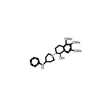 COc1cc2c(c(OC)c1OC)CC[C@@H](N1CCC(Nc3ccccc3)CC1)[C@@H]2O